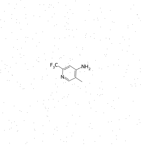 Cc1cnc(C(F)(F)F)cc1N